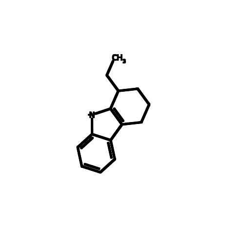 CCC1CCCC2=C1[N]c1ccccc12